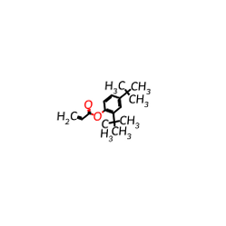 C=CC(=O)Oc1ccc(C(C)(C)C)cc1C(C)(C)C